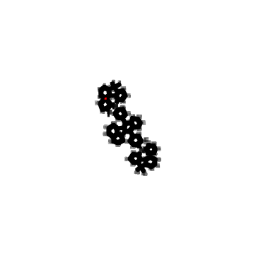 CC1(C)c2ccccc2-c2c(N(c3ccc(-c4c5c(c(-c6ccc(N(c7ccccc7F)c7cccc8c7-c7ccccc7C8(C)C)cc6)c6ccccc46)-c4cccc6cccc-5c46)cc3)c3ccccc3F)cccc21